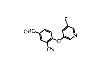 N#Cc1cc(C=O)ccc1Oc1cncc(F)c1